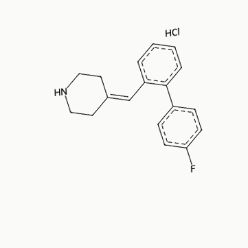 Cl.Fc1ccc(-c2ccccc2C=C2CCNCC2)cc1